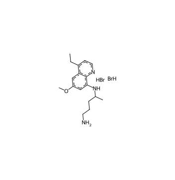 Br.Br.CCc1ccnc2c(NC(C)CCCN)cc(OC)cc12